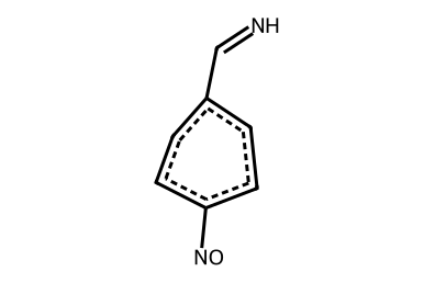 N=Cc1ccc(N=O)cc1